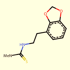 CNC(=S)NCCc1cccc2c1OCO2